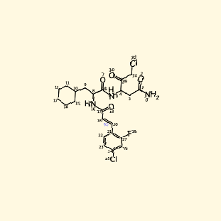 NC(=O)CC(NC(=O)C(CC1CCCCC1)NC(=O)/C=C/c1ccc(Cl)cc1F)C(=O)CCl